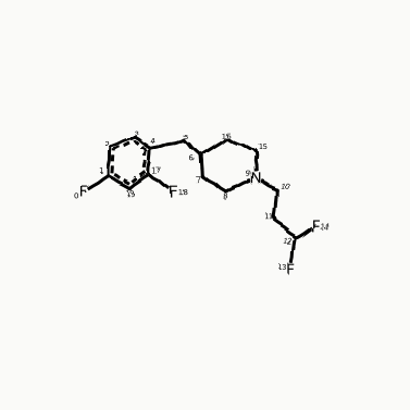 Fc1ccc(CC2CCN(CCC(F)F)CC2)c(F)c1